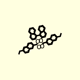 CCc1ccc2cc(C(=O)Oc3ccc4ccccc4c3-c3c(OC(=O)c4ccc5cc(CC)ccc5c4)ccc4ccccc34)ccc2c1